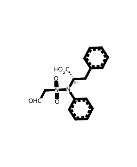 O=CCS(=O)(=O)N(c1ccccc1)[C@@H](Cc1ccccc1)C(=O)O